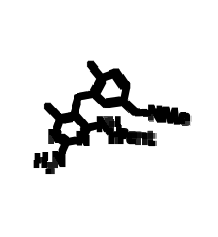 CCCCCNc1nc(N)nc(C)c1Cc1cc(CNC)ccc1C